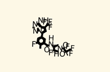 Cc1c(F)cc(-c2cc(C(F)(F)F)c3c(N)ncnn23)cc1C(=O)N[C@@H]1CN(C(=O)[C@@](C)(O)C(F)(F)F)C[C@@H]1F